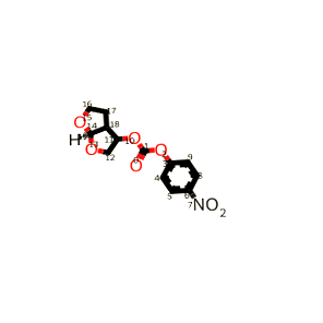 O=C(Oc1ccc([N+](=O)[O-])cc1)OC1CO[C@H]2OCCC12